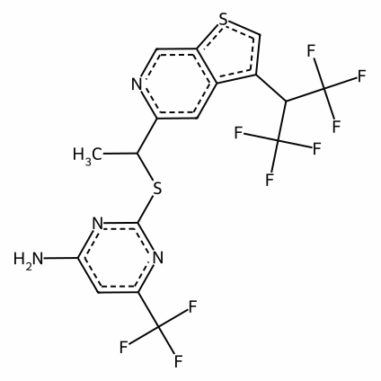 CC(Sc1nc(N)cc(C(F)(F)F)n1)c1cc2c(C(C(F)(F)F)C(F)(F)F)csc2cn1